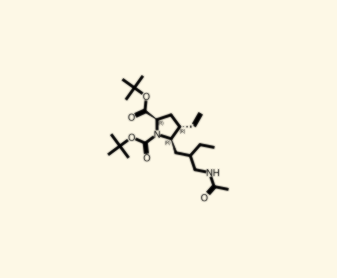 C=C[C@H]1C[C@H](C(=O)OC(C)(C)C)N(C(=O)OC(C)(C)C)[C@@H]1CC(CC)CNC(C)=O